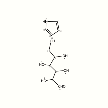 O=CC(O)C(O)C(O)C(O)CO.c1cc[nH]c1